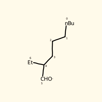 CCCCCCCC([C]=O)CC